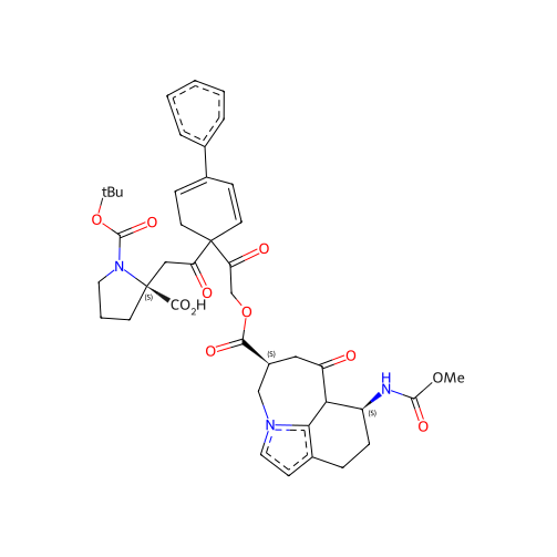 COC(=O)N[C@H]1CCc2ccn3c2C1C(=O)C[C@H](C(=O)OCC(=O)C1(C(=O)C[C@]2(C(=O)O)CCCN2C(=O)OC(C)(C)C)C=CC(c2ccccc2)=CC1)C3